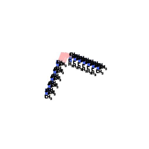 CC[NH+](CC)CC.CC[NH+](CC)CC.CC[NH+](CC)CC.CC[NH+](CC)CC.CC[NH+](CC)CC.CC[NH+](CC)CC.CC[NH+](CC)CC.CC[NH+](CC)CC.CC[NH+](CC)CC.CC[NH+](CC)CC.CC[NH+](CC)CC.CC[NH+](CC)CC.[BH4-].[BH4-].[BH4-].[BH4-].[BH4-].[BH4-].[BH4-].[BH4-].[BH4-].[BH4-].[BH4-].[BH4-]